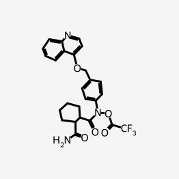 NC(=O)C1CCCCC1C(=O)N(OC(=O)C(F)(F)F)c1ccc(COc2ccnc3ccccc23)cc1